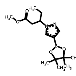 CCC(CC(=O)OC)n1cc(B2OC(C)(C)C(C)(C)O2)cn1